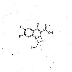 O=C(O)c1c2n(c3cc(F)c(F)cc3c1=O)C(CF)S2